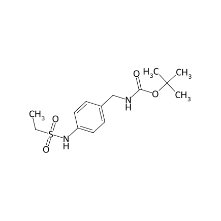 CCS(=O)(=O)Nc1ccc(CNC(=O)OC(C)(C)C)cc1